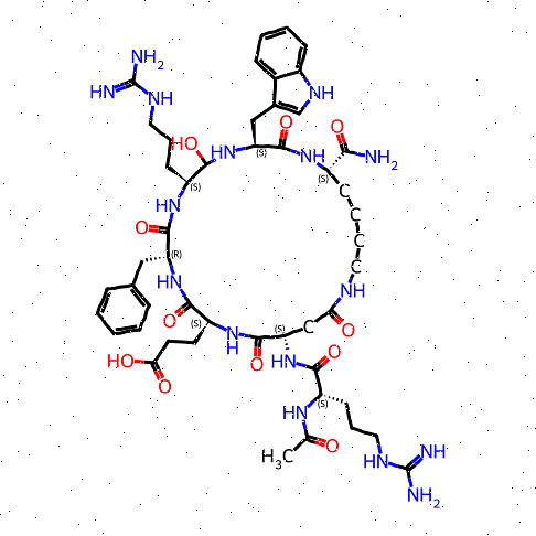 CC(=O)N[C@@H](CCCNC(=N)N)C(=O)N[C@H]1CC(=O)NCCCC[C@@H](C(N)=O)NC(=O)[C@H](Cc2c[nH]c3ccccc23)NC(O)[C@H](CCCNC(=N)N)NC(=O)[C@@H](Cc2ccccc2)NC(=O)[C@H](CCC(=O)O)NC1=O